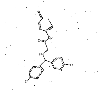 C=C/C=C\C(=C/C)NC(=O)CNC(c1ccc(Cl)cc1)c1ccc(Cl)cc1